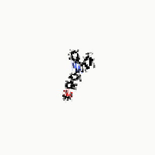 CC1(C)OB(c2ccc(-c3ccc(-c4nc(-c5ccccc5)c5ccccc5n4)cc3)cc2)OC1(C)C